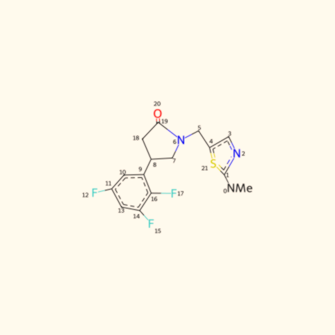 CNc1ncc(CN2CC(c3cc(F)cc(F)c3F)CC2=O)s1